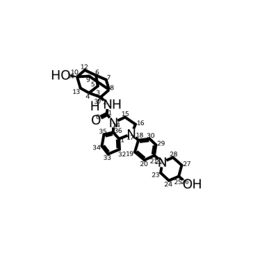 O=C(N[C@H]1C2CC3CC1C[C@@](O)(C3)C2)N1CCN(c2ccc(N3CCC(O)CC3)cc2)c2ccccc21